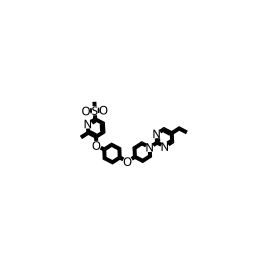 CCc1cnc(N2CCC(OC3CCC(Oc4ccc(S(C)(=O)=O)nc4C)CC3)CC2)nc1